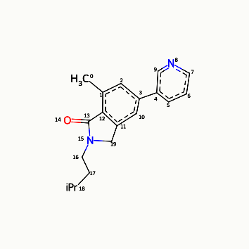 Cc1cc(-c2cccnc2)cc2c1C(=O)N(CCC(C)C)C2